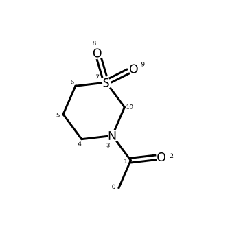 CC(=O)N1CCCS(=O)(=O)C1